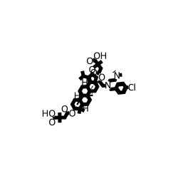 CC(C)C1=C2[C@H]3CC[C@@H]4[C@@]5(C)CC[C@H](OC(=O)CC(C)(C)C(=O)O)C(C)(C)[C@@H]5CC[C@@]4(C)[C@]3(C)CC[C@@]2(C(CN(CCN(C)C)Cc2ccc(Cl)cc2)OC(=O)CC(C)(C)C(=O)O)CC1=O